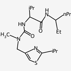 CCCC(CC)NC(=O)C(NC(=O)N(C)Cc1csc(C(C)C)n1)C(C)C